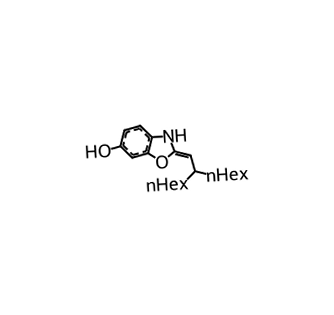 CCCCCCC(C=C1Nc2ccc(O)cc2O1)CCCCCC